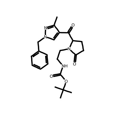 Cc1nn(Cc2ccccc2)cc1C(=O)C1CCC(=O)N1CCNC(=O)OC(C)(C)C